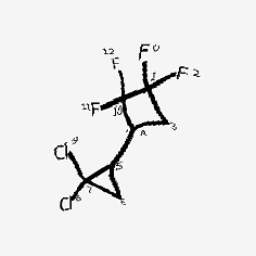 FC1(F)C[C](C2CC2(Cl)Cl)C1(F)F